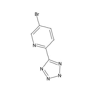 Brc1ccc(C2=N[N]N=N2)nc1